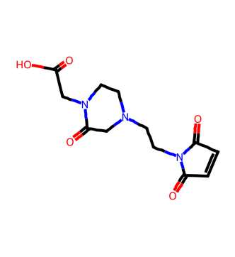 O=C(O)CN1CCN(CCN2C(=O)C=CC2=O)CC1=O